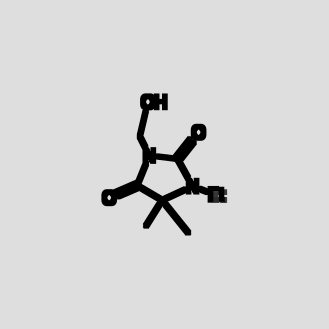 [CH2]CN1C(=O)N(CO)C(=O)C1(C)C